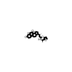 C[C@H](CC(=O)N[C@H](C)c1cccs1)C1CC[C@H]2[C@@H]3C(=O)C[C@@H]4CC(=O)CC[C@]4(C)[C@H]3CC[C@]12C